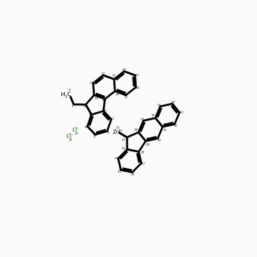 CCC1c2ccccc2-c2c1ccc1ccccc21.[Cl-].[Cl-].[Zr+2][CH]1c2ccccc2-c2cc3ccccc3cc21